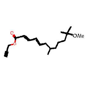 C#CCOC(=O)C=CC=CCC(C)CCCC(C)(C)OC